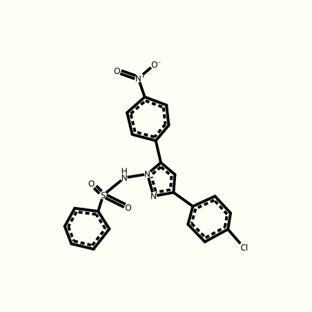 O=[N+]([O-])c1ccc(-c2cc(-c3ccc(Cl)cc3)nn2NS(=O)(=O)c2ccccc2)cc1